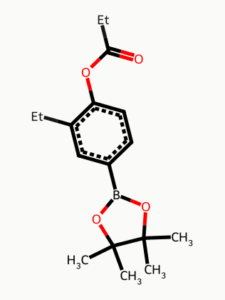 CCC(=O)Oc1ccc(B2OC(C)(C)C(C)(C)O2)cc1CC